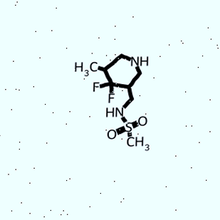 CC1CNCC(CNS(C)(=O)=O)C1(F)F